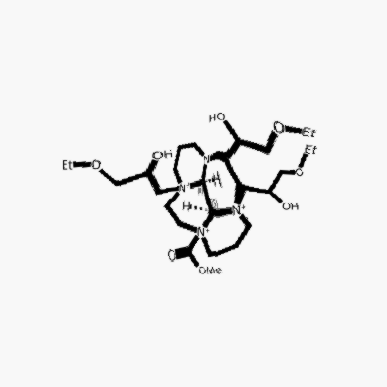 CCOCC(O)C[N+]12CCC[N+]3(CC(O)COCC)CC[N+]4(C(=O)OC)CCC[N+](CC(O)COCC)(CC1)[C@@H]4[C@H]23